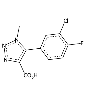 Cn1nnc(C(=O)O)c1-c1ccc(F)c(Cl)c1